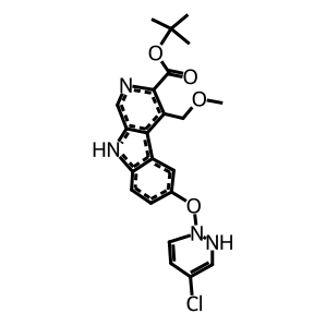 COCc1c(C(=O)OC(C)(C)C)ncc2[nH]c3ccc(ON4C=CC(Cl)=CN4)cc3c12